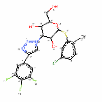 N#Cc1ccc(Cl)cc1SC1OC(CO)C(O)C(n2cc(-c3cc(F)c(F)c(F)c3)nn2)C1O